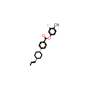 CC=C[C@H]1CC[C@H](c2ccc(C(=O)Oc3ccc(C#N)c(F)c3)cc2)CC1